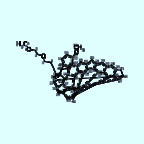 COCCOCCN1CC2C3=c4c5c6c7c(cc8cc9cc%10cc%11cc%12c%13c(c4c4c5c5c7c8c7c9c%10c8c%11c%13c4c8c75)=C(C3)C%12)CC62C1c1ccc(OC)cc1